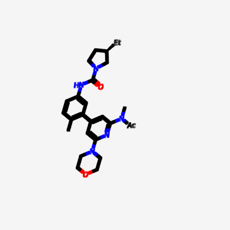 CC[C@@H]1CCN(C(=O)Nc2ccc(C)c(-c3cc(N4CCOCC4)nc(N(C)C(C)=O)c3)c2)C1